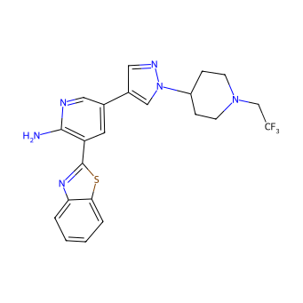 Nc1ncc(-c2cnn(C3CCN(CC(F)(F)F)CC3)c2)cc1-c1nc2ccccc2s1